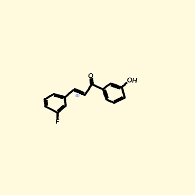 O=C(/C=C/c1cccc(F)c1)c1cccc(O)c1